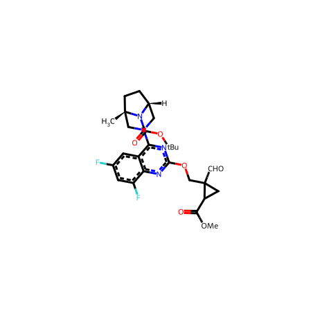 COC(=O)C1CC1(C=O)COc1nc(N2C[C@H]3CC[C@@](C)(C2)N3C(=O)OC(C)(C)C)c2cc(F)cc(F)c2n1